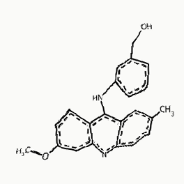 COc1ccc2c(Nc3cccc(CO)c3)c3cc(C)ccc3nc2c1